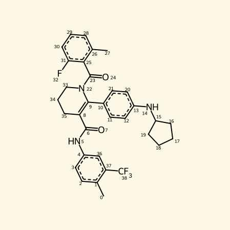 Cc1ccc(NC(=O)C2=C(c3ccc(NC4CCCC4)cc3)N(C(=O)c3c(C)cccc3F)CCC2)cc1C(F)(F)F